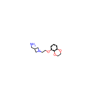 NCC1CN(CCOc2cccc3c2OCCO3)C1